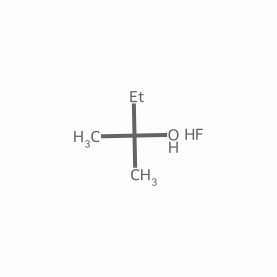 CCC(C)(C)O.F